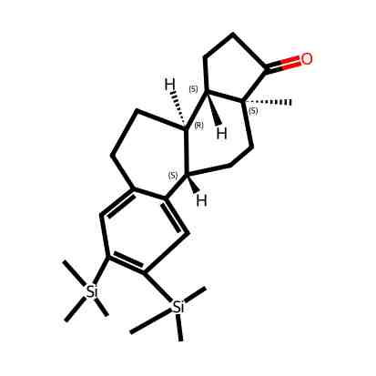 C[C@]12CC[C@@H]3c4cc([Si](C)(C)C)c([Si](C)(C)C)cc4CC[C@H]3[C@@H]1CCC2=O